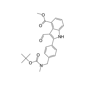 COC(=O)c1cccc2[nH]c(-c3ccc(CN(C)C(=O)OC(C)(C)C)cc3)c(C=O)c12